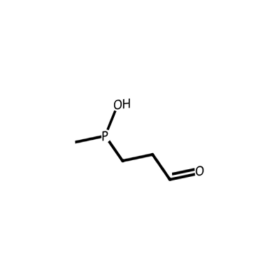 CP(O)CCC=O